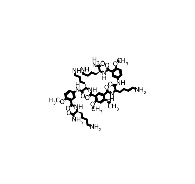 COc1cc(OC)c(C(=O)N[C@@H](CCCCN)C(=O)Nc2ccc(OC)c(C(=O)N[C@@H](CCCCN)C(N)=O)c2)cc1C(=O)NC(CCCCN)C(=O)Nc1ccc(OC)c(C(=O)N[C@@H](CCCCN)C(N)=O)c1